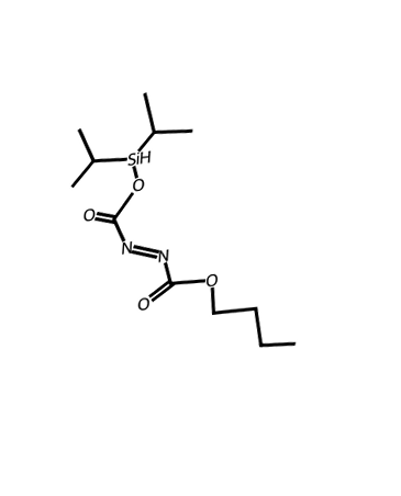 CCCCOC(=O)N=NC(=O)O[SiH](C(C)C)C(C)C